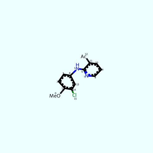 COc1ccc(Nc2ncccc2C(C)=O)cc1Cl